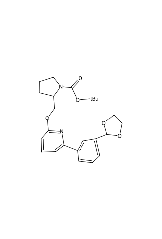 CC(C)(C)OC(=O)N1CCCC1COc1cccc(-c2cccc(C3OCCO3)c2)n1